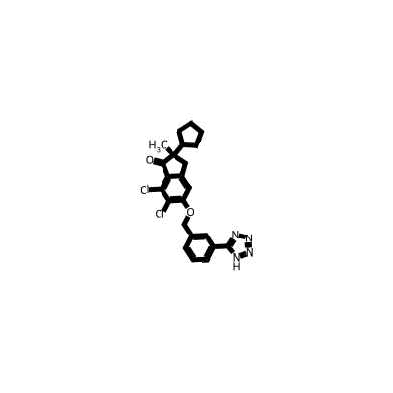 CC1(C2CCCC2)Cc2cc(OCc3cccc(-c4nnn[nH]4)c3)c(Cl)c(Cl)c2C1=O